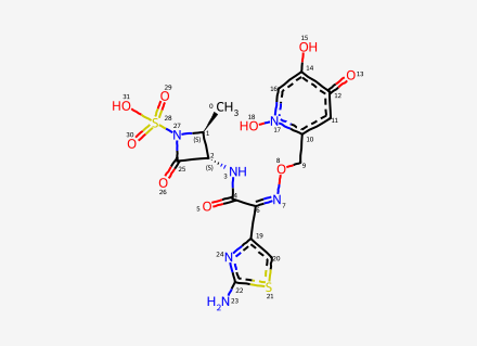 C[C@H]1[C@H](NC(=O)C(=NOCc2cc(=O)c(O)cn2O)c2csc(N)n2)C(=O)N1S(=O)(=O)O